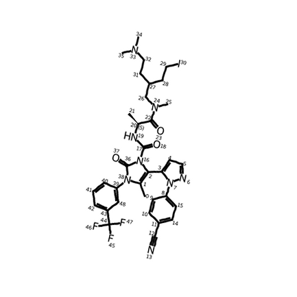 Cc1c(-c2ccnn2-c2ccc(C#N)cc2)n(C(=O)N[C@@H](C)C(=O)N(C)CC(CCI)CCN(C)C)c(=O)n1-c1cccc(C(F)(F)F)c1